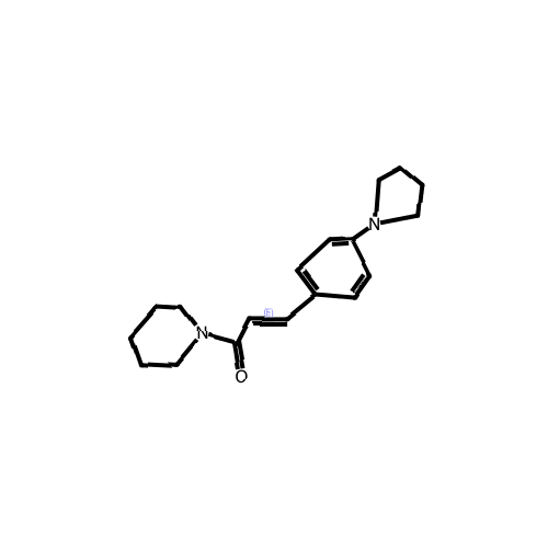 O=C(/C=C/c1ccc(N2CCCC2)cc1)N1CCCCC1